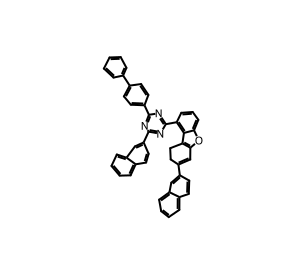 C1=C(c2ccc3ccccc3c2)CCc2c1oc1cccc(-c3nc(-c4ccc(-c5ccccc5)cc4)nc(-c4ccc5ccccc5c4)n3)c21